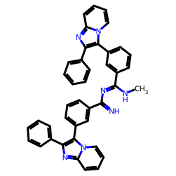 CN/C(=N\C(=N)c1cccc(-c2c(-c3ccccc3)nc3ccccn23)c1)c1cccc(-c2c(-c3ccccc3)nc3ccccn23)c1